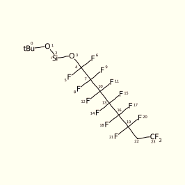 CC(C)(C)O[Si]OC(F)(F)C(F)(F)C(F)(F)C(F)(F)C(F)(F)C(F)(F)CC(F)(F)F